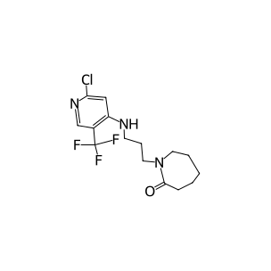 O=C1CCCCCN1CCCNc1cc(Cl)ncc1C(F)(F)F